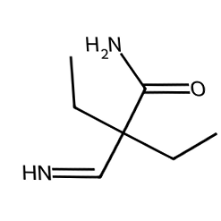 CCC(C=N)(CC)C(N)=O